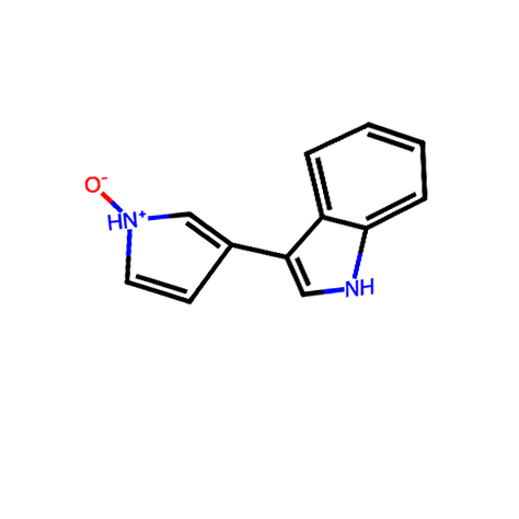 [O-][NH+]1C=CC(c2c[nH]c3ccccc23)=C1